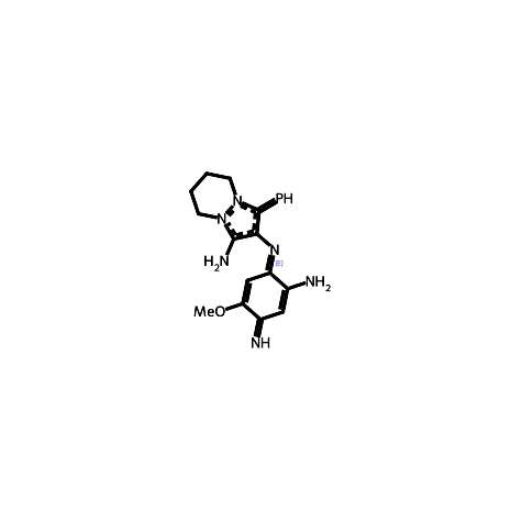 COC1=C/C(=N\c2c(N)n3n(c2=P)CCCC3)C(N)=CC1=N